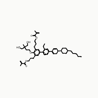 C=C(C)C(=O)OCCCc1cc(-c2ccc(C3=CCC(C4CCC(CCCCC)CC4)C=C3)cc2CC)cc(CCCOC(=O)C(=C)C)c1OCCC(C)(CO)CO